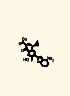 Cl.NC1CCCc2sc(-c3cc4c(cc3F)c(=O)c(C(=O)O)cn4C3CC3)cc21